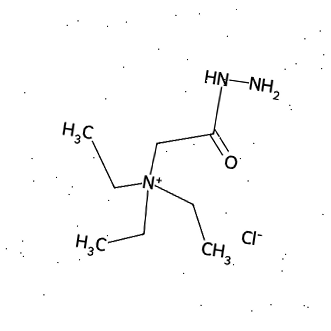 CC[N+](CC)(CC)CC(=O)NN.[Cl-]